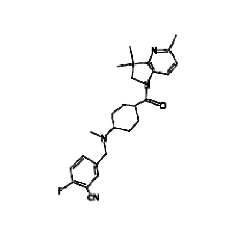 Cc1ccc2c(n1)C(C)(C)CN2C(=O)C1CCC(N(C)Cc2ccc(F)c(C#N)c2)CC1